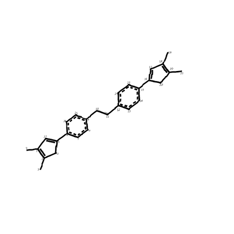 CC1=C(C)CC(c2ccc(CCc3ccc(C4=CC(C)=C(C)C4)cc3)cc2)=C1